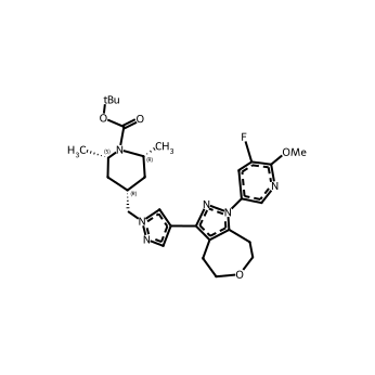 COc1ncc(-n2nc(-c3cnn(C[C@H]4C[C@@H](C)N(C(=O)OC(C)(C)C)[C@@H](C)C4)c3)c3c2CCOCC3)cc1F